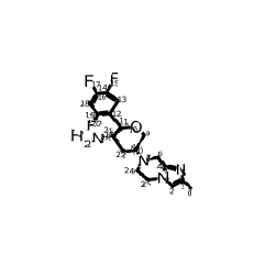 Cc1cn2c(n1)CN([C@H]1COC(c3cc(F)c(F)cc3F)[C@@H](N)C1)CC2